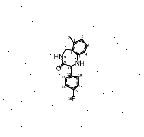 Cc1cccc2c1CNC(=O)C(c1ccc(F)cc1)N2